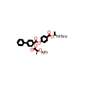 CCCCCC[C@H](C)OC(=O)c1ccc(OC(=O)C2(OC(=O)[C@H](C)OCCC)C=CC(c3ccccc3)=CC2)cc1